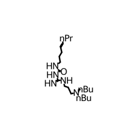 CCCC=CCCCNC(=O)NC(=N)NCCCN(CCCC)CCCC